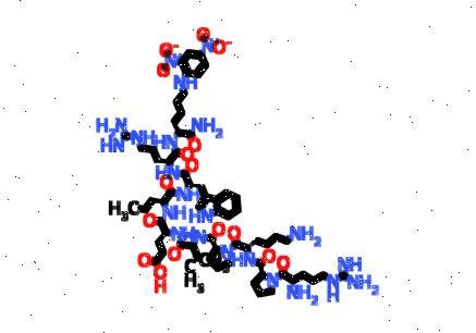 CCC[C@H](NC(=O)[C@H](CCC(=O)O)NC(=O)[C@@H](NC(=O)[C@@H]1CCCN1C(=O)[C@H](CCCCN)NC(=O)[C@@H]1CCCN1C(=O)[C@@H](N)CCCNC(=N)N)C(C)C)C(=O)N[C@@H](Cc1c[nH]c2ccccc12)C(=O)N[C@@H](CCCNC(=N)N)C(=O)N[C@@H](CCCCNc1ccc([N+](=O)[O-])cc1[N+](=O)[O-])C(N)=O